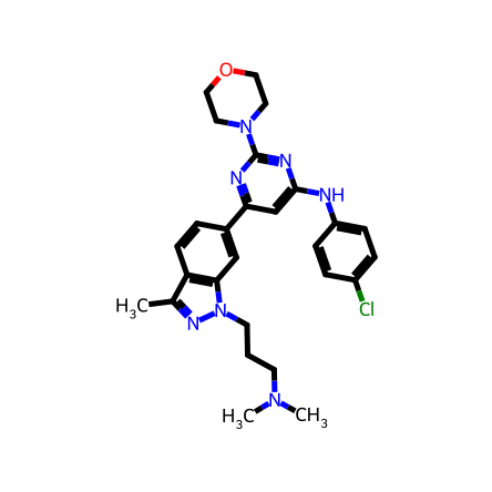 Cc1nn(CCCN(C)C)c2cc(-c3cc(Nc4ccc(Cl)cc4)nc(N4CCOCC4)n3)ccc12